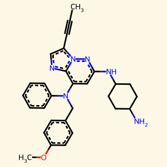 CC#Cc1cnc2c(N(Cc3ccc(OC)cc3)c3ccccc3)cc(NC3CCC(N)CC3)nn12